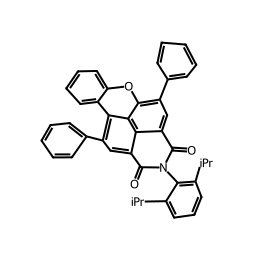 CC(C)c1cccc(C(C)C)c1-n1c(=O)c2cc(-c3ccccc3)c3oc4ccccc4c4c(-c5ccccc5)cc(c1=O)c2c34